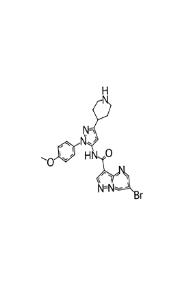 COc1ccc(-n2nc(C3CCNCC3)cc2NC(=O)c2cnn3cc(Br)cnc23)cc1